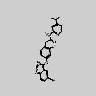 CC(C)c1ccnc(NC(=O)Cc2ccc(Oc3ncnc4ccc(F)cc34)cc2F)c1